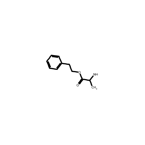 CC([NH])C(=O)OCCc1ccccc1